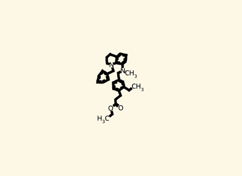 CCOC(=O)CCc1ccc(CN(C)c2cccc3c2N(Cc2ccccc2)CCC3)cc1CC